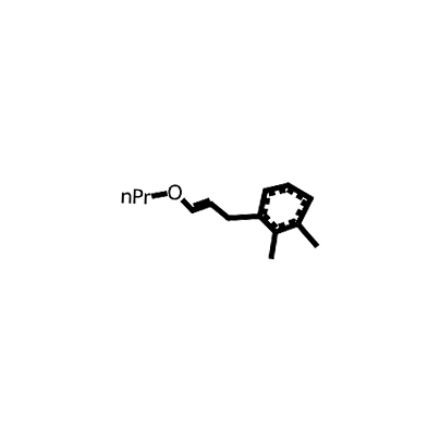 CCCOC=CCc1cccc(C)c1C